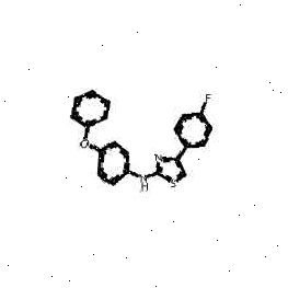 Fc1ccc(-c2csc(Nc3ccc(Oc4ccccc4)cc3)n2)cc1